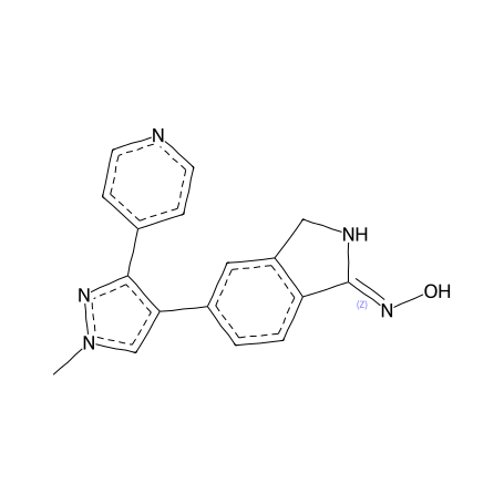 Cn1cc(-c2ccc3c(c2)CN/C3=N\O)c(-c2ccncc2)n1